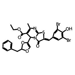 CCOC(=O)C1=C(C)N=c2sc(=Cc3cc(Br)c(O)c(Br)c3)c(=O)n2C1C1=COC(Cc2ccccc2)O1